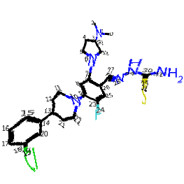 CN(C)[C@@H]1CCN(c2cc(N3CCC(c4cccc(Cl)c4)CC3)c(F)cc2C=NNC(N)=S)C1